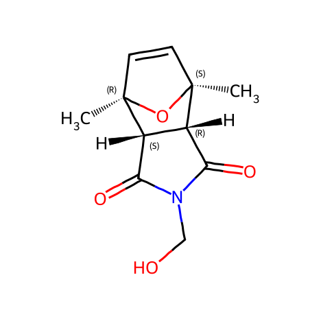 C[C@]12C=C[C@](C)(O1)[C@@H]1C(=O)N(CO)C(=O)[C@@H]12